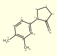 Cc1cnc(N2CCCC2=O)nc1C